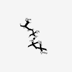 COC(C)(C)CC(C)(C#N)N=NC(C)(C#N)CCC(C)CO